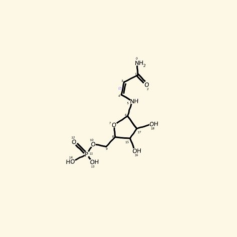 NC(=O)/C=C\NC1OC(COP(=O)(O)O)C(O)C1O